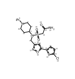 CC(C)N1CCC(N(Cc2cc(-c3ccc(Cl)s3)on2)S(=O)(=O)CC(N)=O)CC1